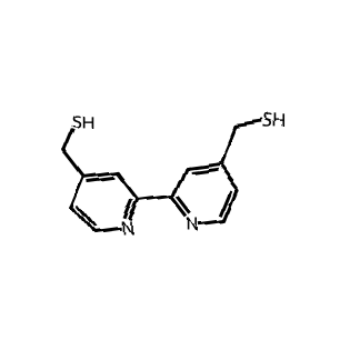 SCc1ccnc(-c2cc(CS)ccn2)c1